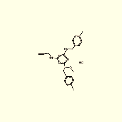 C#CCNc1nc(NCc2ccc(F)cc2)nc(N(Cc2ccc(F)cc2)OC)n1.Cl